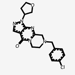 O=c1c2cnn(C3CCOC3)c2nc2n1CCN(Cc1ccc(Cl)cc1)C2